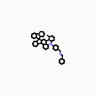 CC1CC=CC=C1C1(c2ccccc2)c2ccccc2-c2c1cc(C1C(Nc3ccc(C/N=C/c4ccccc4)cc3)=CC=CC1C)c1ccccc21